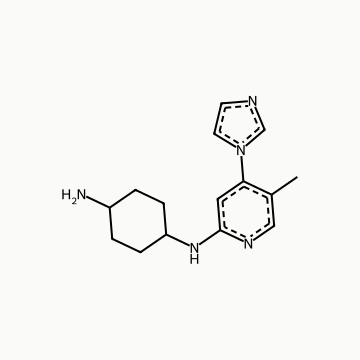 Cc1cnc(NC2CCC(N)CC2)cc1-n1ccnc1